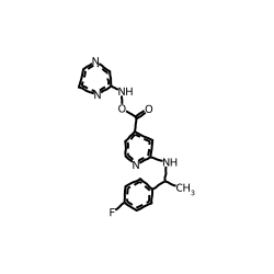 CC(Nc1cc(C(=O)ONc2cnccn2)ccn1)c1ccc(F)cc1